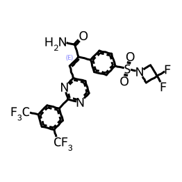 NC(=O)/C(=C/c1ccnc(-c2cc(C(F)(F)F)cc(C(F)(F)F)c2)n1)c1ccc(S(=O)(=O)N2CC(F)(F)C2)cc1